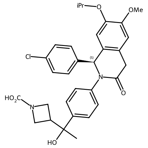 COc1cc2c(cc1OC(C)C)[C@H](c1ccc(Cl)cc1)N(c1ccc(C(C)(O)C3CN(C(=O)O)C3)cc1)C(=O)C2